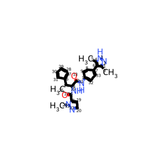 Cc1n[nH]c(C)c1-c1ccc(NC(=O)C(NC(=O)c2ccnn2C)[C@@H](C)c2ccccc2)cc1